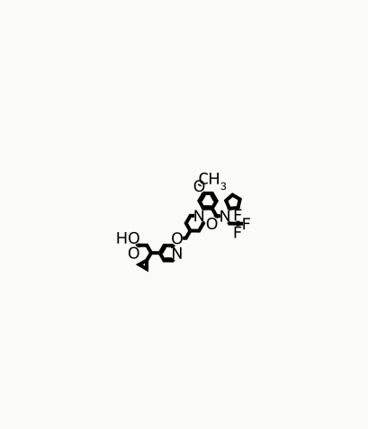 COc1ccc(C(=O)N(CC(F)(F)F)C2CCCC2)c(N2CCC(COc3cc(C(CC(=O)O)C4CC4)ccn3)CC2)c1